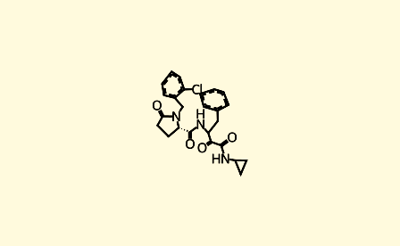 O=C(NC1CC1)C(=O)C(Cc1ccccc1)NC(=O)[C@@H]1CCC(=O)N1Cc1ccccc1Cl